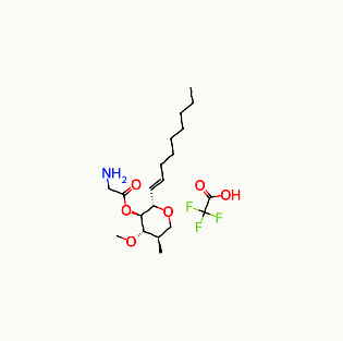 CCCCCCC/C=C/[C@@H]1OC[C@@H](C)[C@H](OC)[C@H]1OC(=O)CN.O=C(O)C(F)(F)F